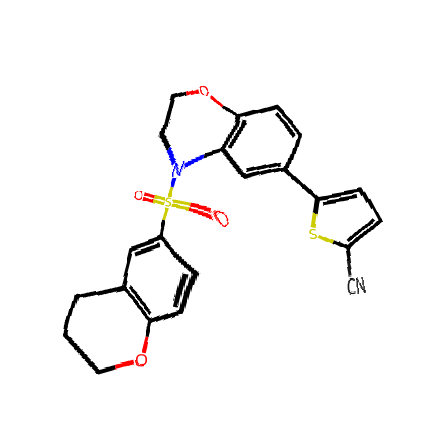 N#Cc1ccc(-c2ccc3c(c2)N(S(=O)(=O)c2ccc4c(c2)CCCO4)CCO3)s1